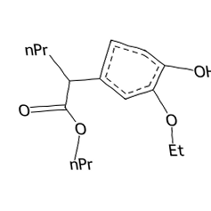 CCCOC(=O)C(CCC)c1ccc(O)c(OCC)c1